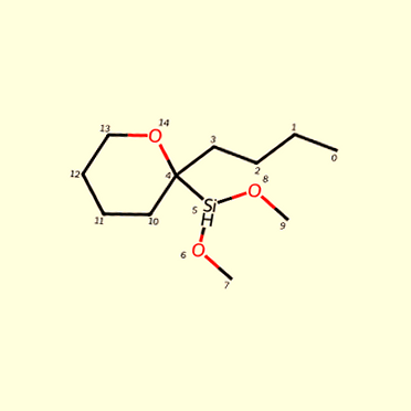 CCCCC1([SiH](OC)OC)CCCCO1